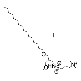 CCCCCCCCCCCCCCCCOCC(CNS(=O)(=O)CCC[N+](C)(C)C)COC.[I-]